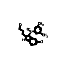 Cc1cc(C)cc([S+]([O-])c2c(/C=C/C=O)[nH]c3ccc(Cl)cc23)c1